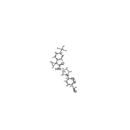 CC(C)(C)c1ccc(C2(C(=O)N[C@@H]3CCN(c4ccc(C#N)nn4)C3)CC2)cc1